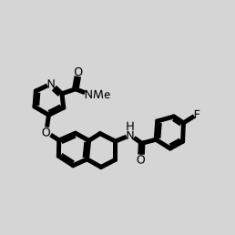 CNC(=O)c1cc(Oc2ccc3c(c2)CC(NC(=O)c2ccc(F)cc2)CC3)ccn1